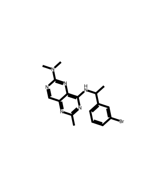 Cc1nc(NC(C)c2cccc(Br)c2)c2nc(N(C)C)ncc2n1